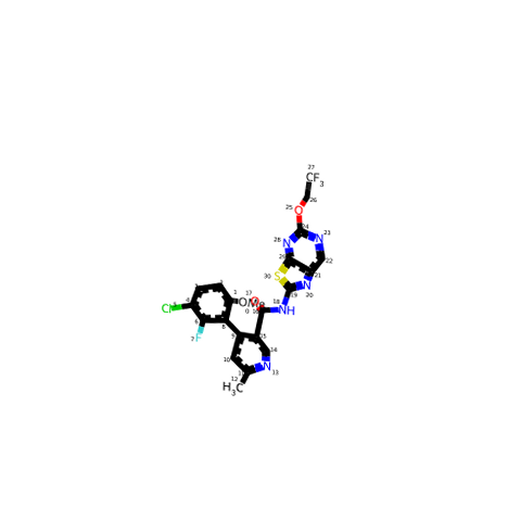 COc1ccc(Cl)c(F)c1-c1cc(C)ncc1C(=O)Nc1nc2cnc(OCC(F)(F)F)nc2s1